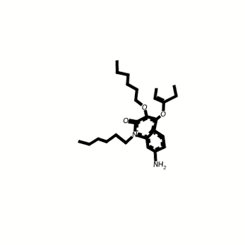 CC=C(CC)Oc1c(OCCCCCC)c(=O)n(CCCCCC)c2cc(N)ccc12